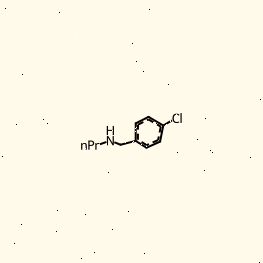 CCCNCc1ccc(Cl)cc1